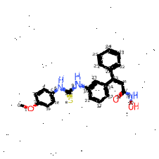 COc1ccc(NC(=S)Nc2cccc(/C(=C\C(=O)NO)c3ccccc3)c2)cc1